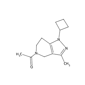 CC(=O)N1CCc2c(c(C)nn2C2CCC2)C1